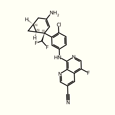 N#Cc1cnc2c(Nc3ccc(Cl)c([C@@]4(C(F)F)C=C(N)C[C@@H]5C[C@@H]54)c3)ncc(F)c2c1